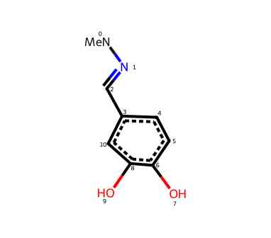 CNN=Cc1ccc(O)c(O)c1